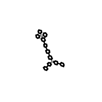 c1ccc(-c2ccc(N(c3ccc(-c4ccccc4)cc3)c3ccc(-c4ccc(-c5ccc(-c6ccc([Si](c7ccccc7)(c7ccccc7)c7ccccc7)cc6)cc5)cc4)cc3)cc2)cc1